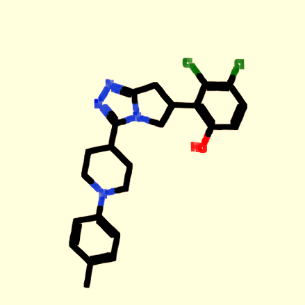 Cc1ccc(N2CCC(c3nnc4n3CC(c3c(O)ccc(Cl)c3Cl)C4)CC2)cc1